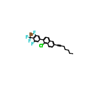 CCCCCC#Cc1ccc2c(Cl)c(-c3cc(F)c(C(F)(F)Br)c(F)c3)ccc2c1